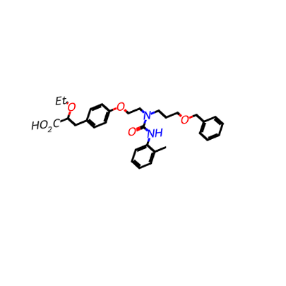 CCOC(Cc1ccc(OCCN(CCCOCc2ccccc2)C(=O)Nc2ccccc2C)cc1)C(=O)O